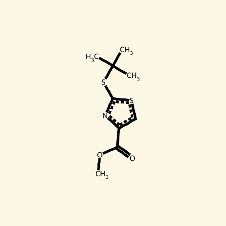 COC(=O)c1csc(SC(C)(C)C)n1